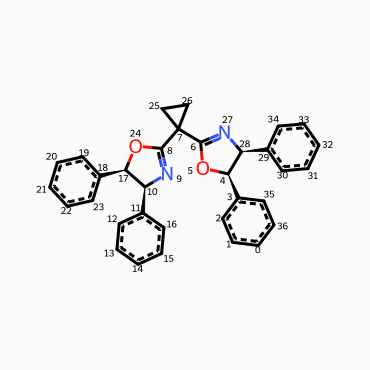 c1ccc([C@H]2OC(C3(C4=N[C@@H](c5ccccc5)[C@@H](c5ccccc5)O4)CC3)=N[C@H]2c2ccccc2)cc1